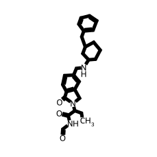 CCC(C(=O)NC=O)N1Cc2cc(CNC3CCCC(Cc4ccccc4)C3)ccc2C1=O